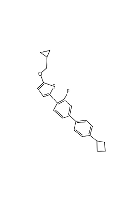 Fc1cc(-c2ccc(C3CCC3)cc2)ccc1-c1ccc(OCC2CC2)s1